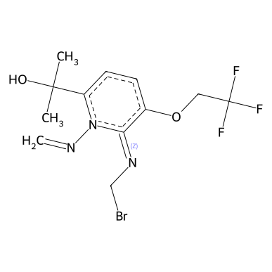 C=Nn1c(C(C)(C)O)ccc(OCC(F)(F)F)/c1=N/CBr